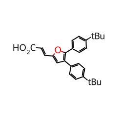 CC(C)(C)c1ccc(-c2cc(/C=C/C(=O)O)oc2-c2ccc(C(C)(C)C)cc2)cc1